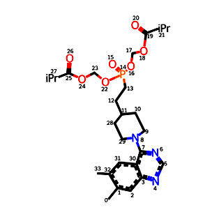 Cc1cc2ncnc(N3CCC(CCP(=O)(OCOC(=O)C(C)C)OCOC(=O)C(C)C)CC3)c2cc1C